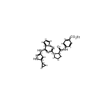 CCOC(=O)c1ccc(NC(=O)C2CCCN2c2nc(Nc3cc(C4CC4)[nH]n3)c3cccn3n2)cc1